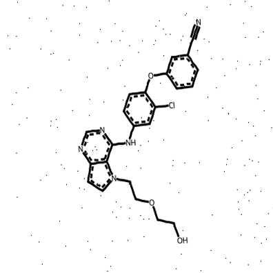 N#Cc1cccc(Oc2ccc(Nc3ncnc4ccn(CCOCCO)c34)cc2Cl)c1